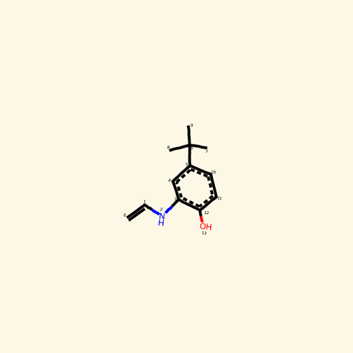 C=CNc1cc(C(C)(C)C)ccc1O